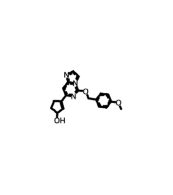 COc1ccc(COc2nc(C3=CC(O)CC3)cc3nccn23)cc1